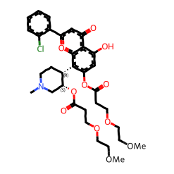 COCCOCCC(=O)Oc1cc(O)c2c(=O)cc(-c3ccccc3Cl)oc2c1[C@H]1CCN(C)C[C@H]1OC(=O)CCOCCOC